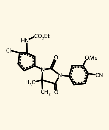 CCOC(=O)Nc1cc(N2C(=O)N(c3ccc(C#N)c(OC)c3)C(=O)C2(C)C)ccc1Cl